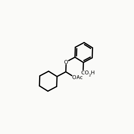 CC(=O)OC(Oc1ccccc1C(=O)O)C1CCCCC1